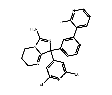 CCc1cc(C2(c3cccc(-c4cccnc4F)c3)N=C(N)N3CCCN=C32)cc(CC)n1